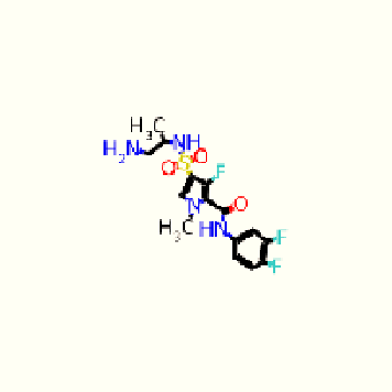 CC(CN)NS(=O)(=O)c1cn(C)c(C(=O)Nc2ccc(F)c(F)c2)c1F